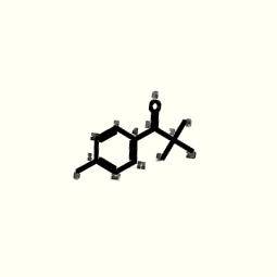 Cc1[c]cc(C(=O)C(C)(C)C)cc1